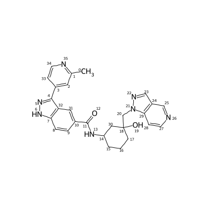 Cc1cc(-c2n[nH]c3ccc(C(=O)NC4CCCC(O)(Cn5ncc6cnccc65)C4)cc23)ccn1